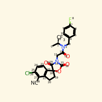 C[C@H](N(Cc1ccc(F)cc1)C(=O)CN1C(=O)OC2(CCc3c2ccc(Cl)c3C#N)C1=O)C(F)(F)F